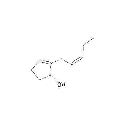 CC/C=C\CC1=CCC[C@H]1O